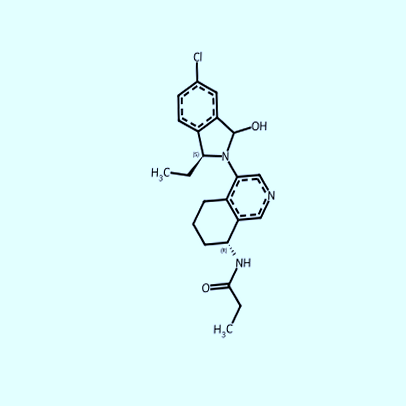 CCC(=O)N[C@@H]1CCCc2c1cncc2N1C(O)c2cc(Cl)ccc2[C@@H]1CC